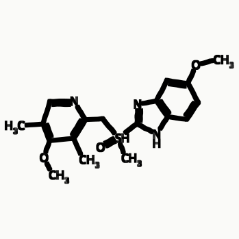 COc1ccc2[nH]c([SH](C)(=O)Cc3ncc(C)c(OC)c3C)nc2c1